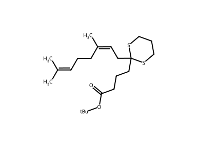 CC(C)=CCC/C(C)=C\CC1(CCCC(=O)OC(C)(C)C)SCCCS1